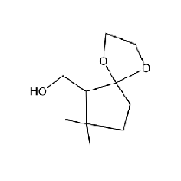 CC1(C)CCC2(OCCO2)C1CO